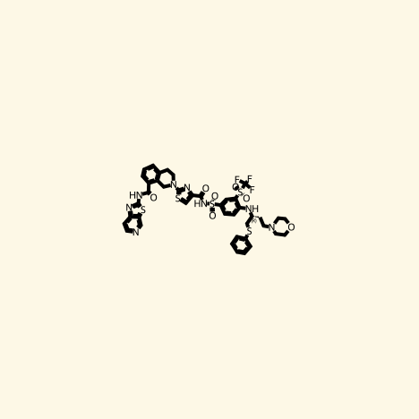 O=C(NS(=O)(=O)c1ccc(N[C@H](CCN2CCOCC2)CSc2ccccc2)c(S(=O)(=O)C(F)(F)F)c1)c1csc(N2CCc3cccc(C(=O)Nc4nc5ccncc5s4)c3C2)n1